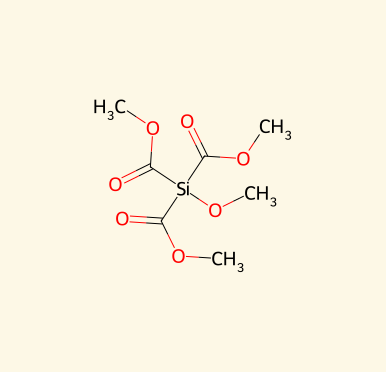 COC(=O)[Si](OC)(C(=O)OC)C(=O)OC